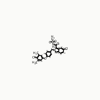 Cc1cc(Oc2ccc(Cn3nc4ccc(Cl)cc4c3C(=O)NS(C)(=O)=O)cc2)cc(C)c1Cl